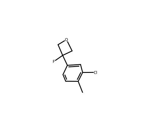 Cc1ccc(C2(F)COC2)cc1Cl